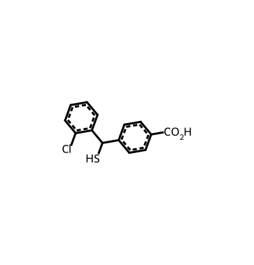 O=C(O)c1ccc(C(S)c2ccccc2Cl)cc1